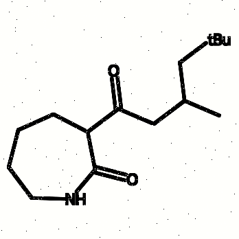 CC(CC(=O)C1CCCCNC1=O)CC(C)(C)C